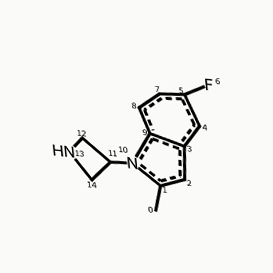 Cc1cc2cc(F)ccc2n1C1CNC1